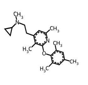 Cc1cc(C)c(Oc2nc(C)cc(CCN(C)C3CC3)c2C)c(C)c1